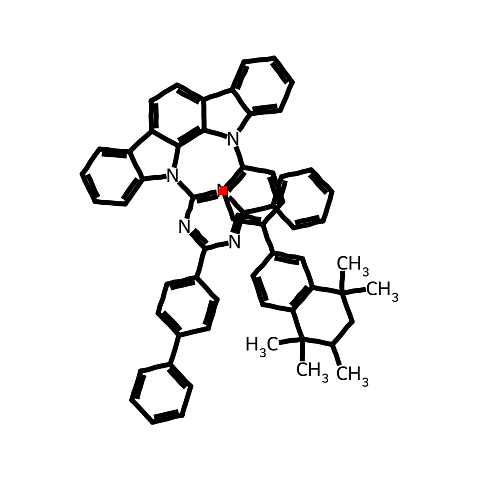 CC1CC(C)(C)c2cc(-c3ccc(-n4c5ccccc5c5ccc6c7ccccc7n(-c7nc(-c8ccccc8)nc(-c8ccc(-c9ccccc9)cc8)n7)c6c54)cc3)ccc2C1(C)C